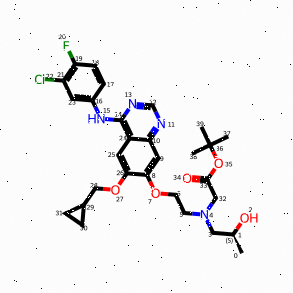 C[C@H](O)CN(CCOc1cc2ncnc(Nc3ccc(F)c(Cl)c3)c2cc1OCC1CC1)CC(=O)OC(C)(C)C